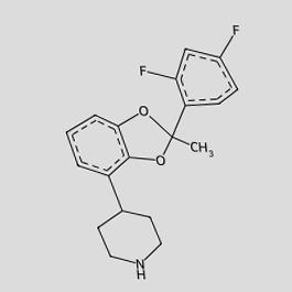 CC1(c2ccc(F)cc2F)Oc2cccc(C3CCNCC3)c2O1